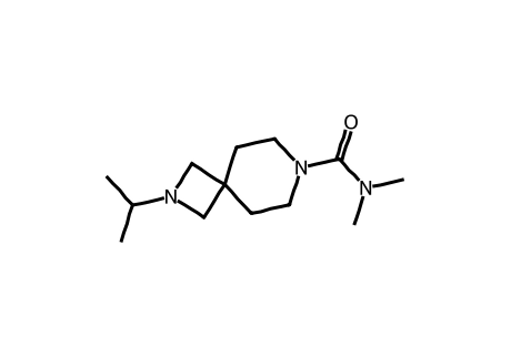 CC(C)N1CC2(CCN(C(=O)N(C)C)CC2)C1